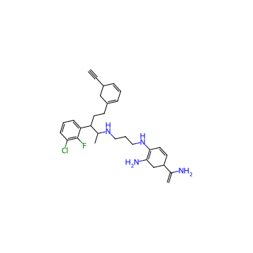 C#CC1C=CC=C(CCC(c2cccc(Cl)c2F)C(C)NCCCNC2=C(N)CC(C(=C)N)C=C2)C1